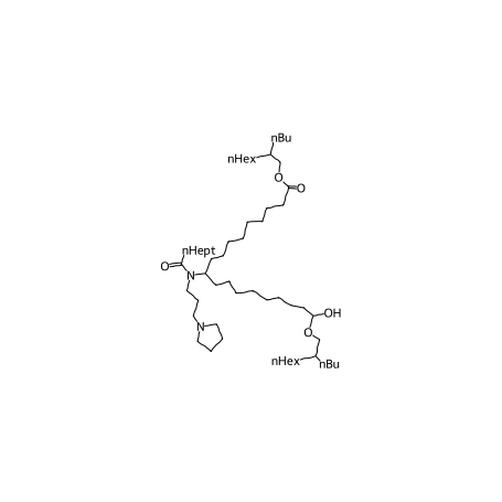 CCCCCCCC(=O)N(CCCN1CCCC1)C(CCCCCCCCC(=O)OCC(CCCC)CCCCCC)CCCCCCCCC(O)OCC(CCCC)CCCCCC